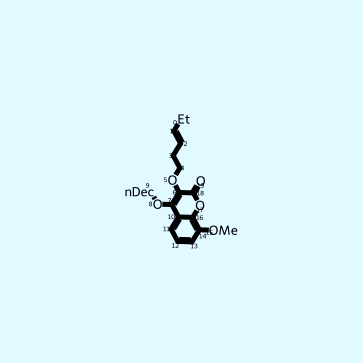 CC/C=C/CCOc1c(OCCCCCCCCCC)c2cccc(OC)c2oc1=O